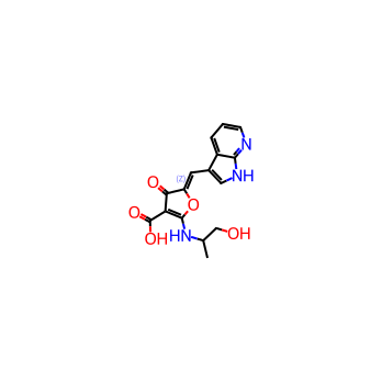 CC(CO)NC1=C(C(=O)O)C(=O)/C(=C/c2c[nH]c3ncccc23)O1